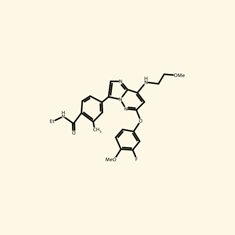 CCNC(=O)c1ccc(-c2cnc3c(NCCOC)cc(Oc4ccc(OC)c(F)c4)nn23)cc1C